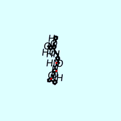 O=C(Nc1ccccc1-c1ccccc1)OC1CCN(CCNC(=O)c2ccc(CNC[C@@H](O)c3ccc(OCc4ccccc4)c4[nH]c(=O)ccc34)cc2)CC1